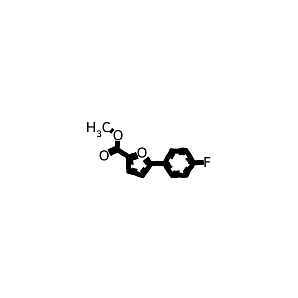 COC(=O)c1ccc(-c2ccc(F)cc2)o1